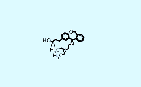 CCN(CC)CCN=C1c2ccccc2COc2ccc(CCC(=O)O)cc21